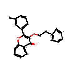 Cc1cccc(-c2oc3ccccc3c(=O)c2OCCc2ccccc2)c1